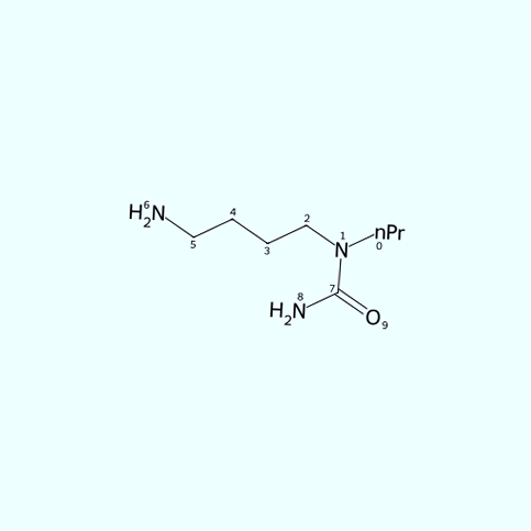 CCCN(CCCCN)C(N)=O